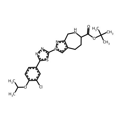 CC(C)Oc1ccc(-c2nnc(-n3cc4c(n3)CNC(C(=O)OC(C)(C)C)CC4)s2)cc1Cl